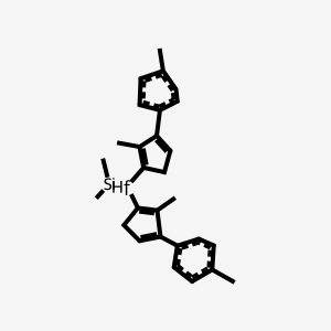 CC1=[C]([Hf]([C]2=C(C)C(c3ccc(C)cc3)=CC2)=[Si](C)C)CC=C1c1ccc(C)cc1